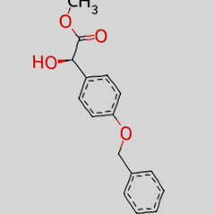 COC(=O)[C@H](O)c1ccc(OCc2ccccc2)cc1